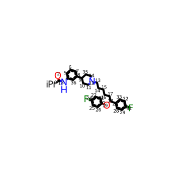 CC(C)C(=O)Nc1cccc(C2CCN(CCCCCC(Oc3ccc(F)cc3)c3ccc(F)cc3)CC2)c1